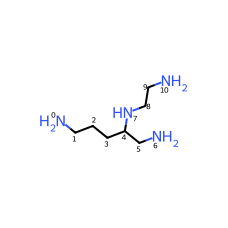 NCCCC(CN)NCCN